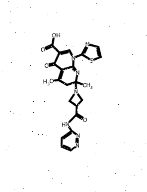 CC1=c2c(=O)c(C(=O)O)cn(-c3nccs3)c2=NC(C)(N2CC(C(=O)Nc3cccnn3)C2)C1